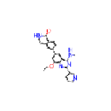 CCOc1cc(-c2ccc3c(=O)[nH]ccc3c2)cc2c(NC)nc(-c3cccnc3)nc12